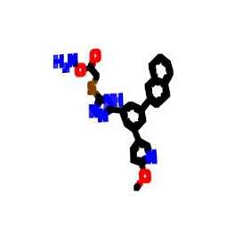 COc1ccc(-c2cc(-c3ccc4ccccc4c3)cc(-c3nnc(SCC(=O)ON)[nH]3)c2)cn1